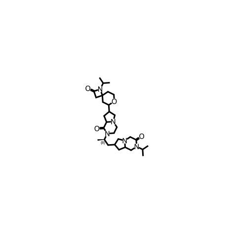 CC(C)N1CC2CC(C[C@@H](C)N3CCN4CC(C5CC6(CCO5)CC(=O)N6C(C)C)CC4C3=O)CN2CC1=O